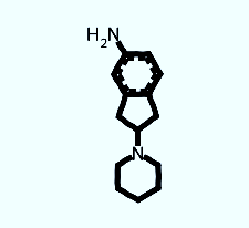 Nc1ccc2c(c1)CC(N1CCCCC1)C2